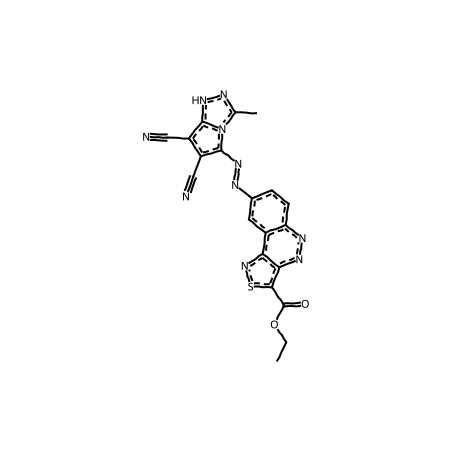 CCOC(=O)c1snc2c1nnc1ccc(/N=N/c3c(C#N)c(C#N)c4[nH]nc(C)n34)cc12